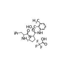 Cc1cccc(NC(=O)C2CCCN2C(=O)C(N)CC(C)C)c1C(=O)O.O=C(O)C(F)(F)F